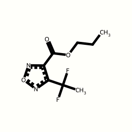 CCCOC(=O)c1nonc1C(C)(F)F